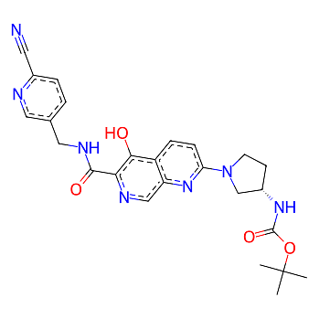 CC(C)(C)OC(=O)N[C@H]1CCN(c2ccc3c(O)c(C(=O)NCc4ccc(C#N)nc4)ncc3n2)C1